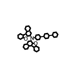 c1ccc(-c2ccc(-c3ccc(N(c4cc5ccccc5c5c4oc4ccccc45)c4cc5ccccc5c5c4oc4ccccc45)cc3)cc2)cc1